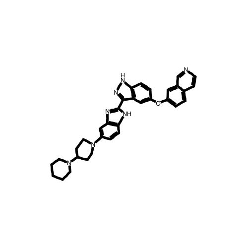 c1cc2ccc(Oc3ccc4[nH]nc(-c5nc6cc(N7CCC(N8CCCCC8)CC7)ccc6[nH]5)c4c3)cc2cn1